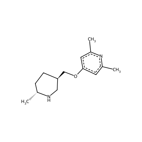 Cc1cc(OC[C@@H]2CC[C@@H](C)NC2)cc(C)n1